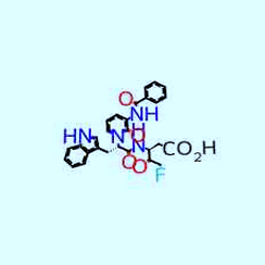 O=C(O)C[C@H](NC(=O)[C@H](Cc1c[nH]c2ccccc12)n1cccc(NC(=O)c2ccccc2)c1=O)C(=O)CF